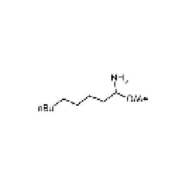 CCCCCCCCC(N)OC